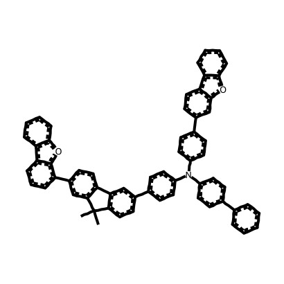 CC1(C)c2ccc(-c3ccc(N(c4ccc(-c5ccccc5)cc4)c4ccc(-c5ccc6c(c5)oc5ccccc56)cc4)cc3)cc2-c2ccc(-c3cccc4c3oc3ccccc34)cc21